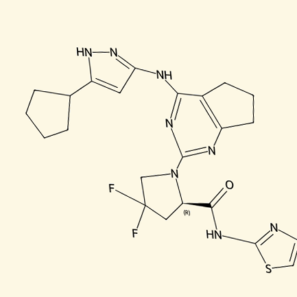 O=C(Nc1nccs1)[C@H]1CC(F)(F)CN1c1nc2c(c(Nc3cc(C4CCCC4)[nH]n3)n1)CCC2